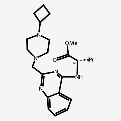 COC(=O)[C@@H](Nc1nc(CN2CCN(C3CCC3)CC2)nc2ccccc12)C(C)C